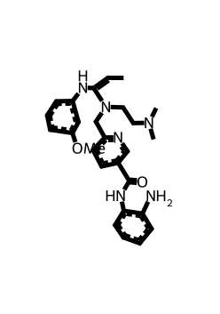 C/C=C(/Nc1cccc(OC)c1)N(CCN(C)C)Cc1ccc(C(=O)Nc2ccccc2N)cn1